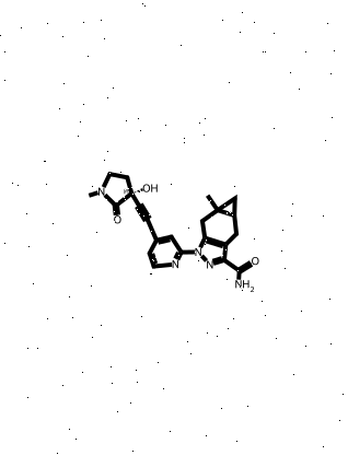 CN1CC[C@@](O)(C#Cc2ccnc(-n3nc(C(N)=O)c4c3CC3(C)CC3C4)c2)C1=O